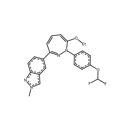 CCOC1=CC=CC(c2ccc3nn(C)cc3c2)=NN1c1ccc(OC(F)F)cc1